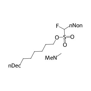 CCCCCCCCCCCCCCCCOS(=O)(=O)C(F)CCCCCCCCC.CNC